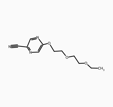 CCOCCOCCOc1cnc(C#N)cn1